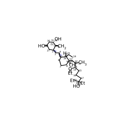 C=C1/C(=C\C=C2/CCC[C@]3(C)[C@@H]([C@@H](C)C(CCCC(O)(CC)CC)OCC)CC[C@@H]23)C[C@@H](O)C[C@@H]1O